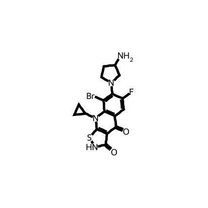 NC1CCN(c2c(F)cc3c(=O)c4c(=O)[nH]sc4n(C4CC4)c3c2Br)C1